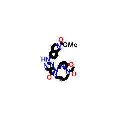 COC(=O)N1CCc2cc(Nc3ncc4c(=O)n5n(c4n3)-c3ccc4c(n3)N(CC/C=C/C5)C(=O)CO4)ccc2C1